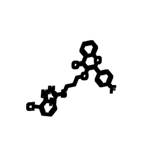 O=c1c(OCCCSc2nnc3c(Cl)cccn23)c(-c2ccc(F)cc2)oc2ccccc12